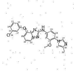 COc1cc(Nc2nc3c(Oc4cccc(Cl)c4)cccn3n2)ccc1-n1cnc(C)c1